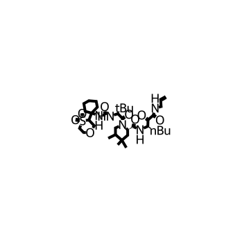 C=CCNC(=O)C(=O)[C@H](CCCC)NC(=O)[C@@H]1CC(C)(C)C(C)CN1C(=O)[C@@H](NC(=O)NC1(C2COCCS2(=O)=O)CCCCC1)C(C)(C)C